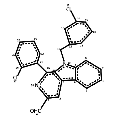 O=Cc1cc2c3ccccc3n(Cc3cccc(Cl)c3)c2c(-c2ccccc2Cl)n1